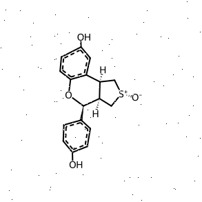 [O-][S@+]1C[C@@H]2[C@H](C1)c1cc(O)ccc1O[C@@H]2c1ccc(O)cc1